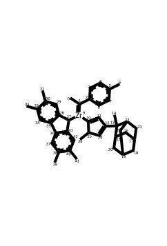 C[C](c1ccc(C)cc1)=[Zr]([C]1=CC(C2(C)C3CC4CC(C3)CC2C4)=CC1C)[CH]1c2cc(C)c(C)cc2-c2cc(C)c(C)cc21